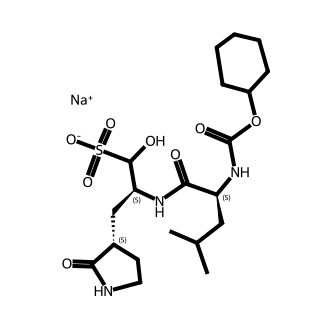 CC(C)C[C@H](NC(=O)OC1CCCCC1)C(=O)N[C@@H](C[C@@H]1CCNC1=O)C(O)S(=O)(=O)[O-].[Na+]